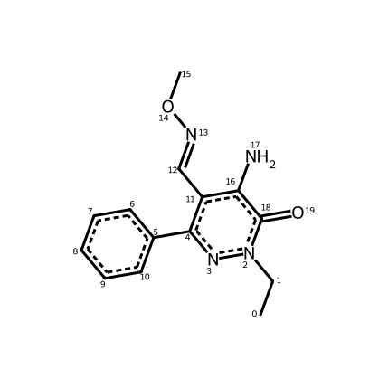 CCn1nc(-c2ccccc2)c(C=NOC)c(N)c1=O